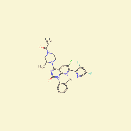 C=CC(=O)N1CCN(c2nc(=O)n(-c3ccccc3C(C)C)c3nc(-c4ncc(F)cc4F)c(Cl)cc23)[C@@H](C)C1